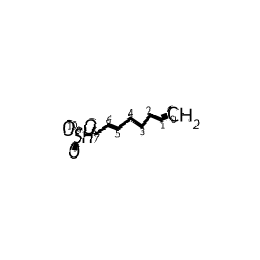 C=CCCCCCCO[SH](=O)=O